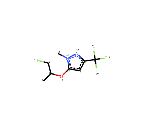 CC(CF)Oc1[c]c(C(F)(F)F)nn1C